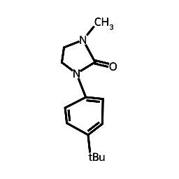 CN1CCN(c2ccc(C(C)(C)C)cc2)C1=O